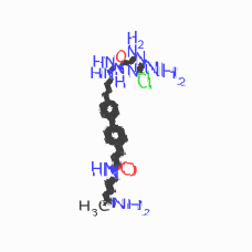 C[C@H](N)CCCCNC(=O)CCc1ccc(-c2ccc(CCCCNC(=N)NC(=O)c3nc(Cl)c(N)nc3N)cc2)cc1